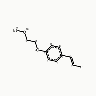 [CH2]C=Cc1ccc(OCCOCC)cc1